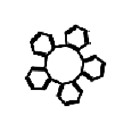 [c]1[c]c2c(cc1)c1ccccc1c1ccccc1c1ccccc1c1ccccc21